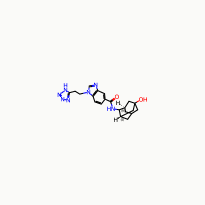 O=C(NC1[C@@H]2CC3C[C@H]1CC(O)(C3)C2)c1ccc2c(c1)ncn2CCc1nnn[nH]1